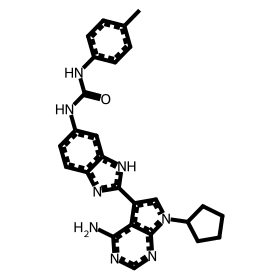 Cc1ccc(NC(=O)Nc2ccc3nc(-c4cn(C5CCCC5)c5ncnc(N)c45)[nH]c3c2)cc1